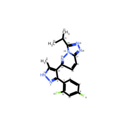 Cc1[nH]nc(-c2ccc(F)cc2F)c1-c1ccc2nnc(C(C)C)n2n1